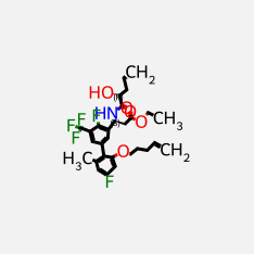 C=CCCCOc1cc(F)cc(C)c1-c1cc([C@H](CC(=O)OCC)NC(=O)[C@H](O)CC=C)c(F)c(C(F)(F)F)c1